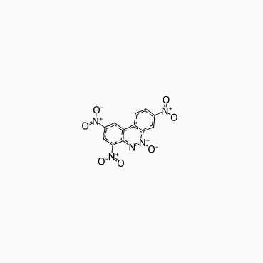 O=[N+]([O-])c1cc([N+](=O)[O-])c2n[n+]([O-])c3cc([N+](=O)[O-])ccc3c2c1